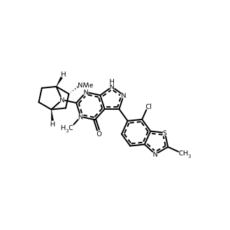 CN[C@@H]1C[C@@H]2CC[C@H]1N2c1nc2[nH]nc(-c3ccc4nc(C)sc4c3Cl)c2c(=O)n1C